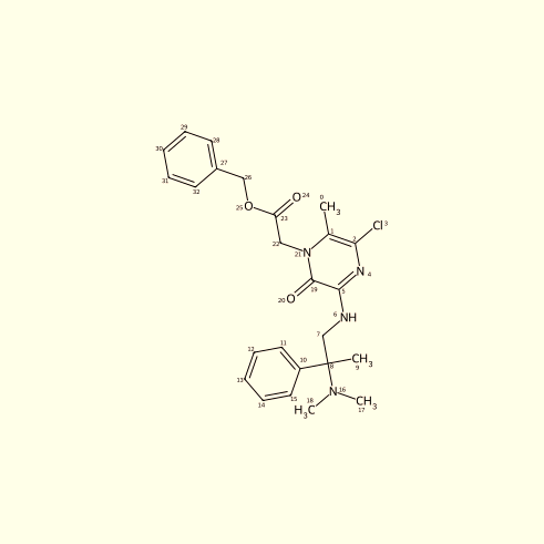 Cc1c(Cl)nc(NCC(C)(c2ccccc2)N(C)C)c(=O)n1CC(=O)OCc1ccccc1